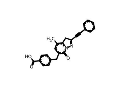 Cc1cc(Cc2ccc(C(=O)O)cc2)c(=O)n2c1CC(C#Cc1ccccc1)=N2